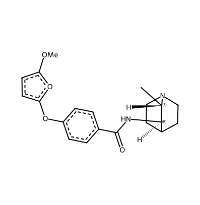 COc1ccc(Oc2ccc(C(=O)N[C@@H]3C4CCN(CC4)[C@H]3C)cc2)o1